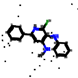 CC(C)Nc1cc(-c2ccccc2)nc(F)c1Nc1ccccc1